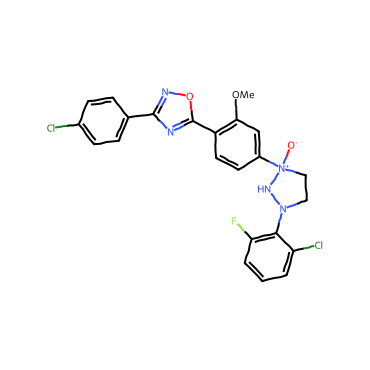 COc1cc([N+]2([O-])CCN(c3c(F)cccc3Cl)N2)ccc1-c1nc(-c2ccc(Cl)cc2)no1